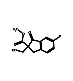 COC(=O)C1(CO)Cc2ccc(F)cc2C1=O